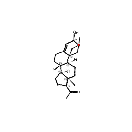 COC[C@]12CC[C@H](O)C=C1CC[C@@H]1[C@@H]2CC[C@]2(C)[C@@H](C(C)=O)CC[C@@H]12